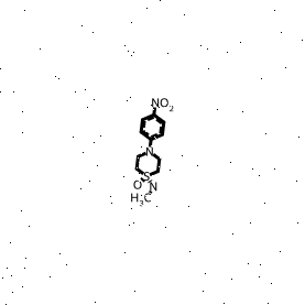 CN=S1(=O)CCN(c2ccc([N+](=O)[O-])cc2)CC1